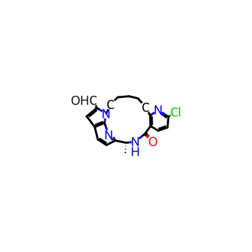 C[C@H]1NC(=O)c2ccc(Cl)nc2CCCCCn2c(C=O)cc3ccc1nc32